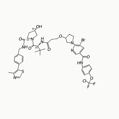 Cc1ncsc1-c1ccc(CNC(=O)[C@@H]2C[C@@H](O)CN2C(=O)[C@@H](NC(=O)CCOC2CCN(c3ncc(C(=O)Nc4ccc(OC(F)(F)Cl)cc4)cc3Br)C2)C(C)(C)C)cc1